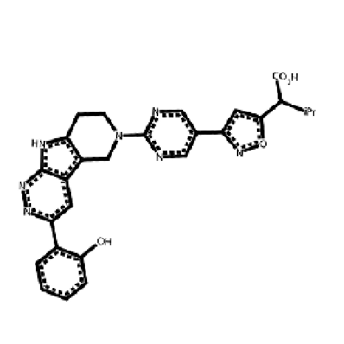 CC(C)C(C(=O)O)c1cc(-c2cnc(N3CCc4[nH]c5nnc(-c6ccccc6O)cc5c4C3)nc2)no1